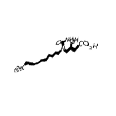 CCCCCCCCCCCCCCCCCCN(CC(O)CC(=O)O)C(N)=O